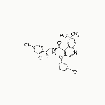 CC1(C)C=Cc2ncc(Oc3cccc(C4CC4)c3)c(C(=O)NCC(F)c3ccc(Cl)cc3Cl)c2O1